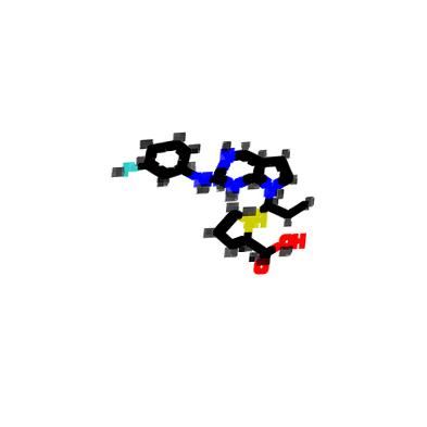 [CH2]CC(n1ccc2cnc(Nc3cccc(F)c3)nc21)[SH]1C=CC=C1C(=O)O